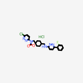 Cl.O=C1OC2(CCC(CNc3ccc(-c4ccccc4F)nn3)CC2)CN1c1ccc(Cl)nn1